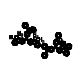 CC1(C)c2ccccc2-c2ccc(N(c3ccc4c(c3)C(C)(C)c3cc(-c5ccc6c7cc(N(c8ccc9c(c8)C(c8ccccc8)(c8ccccc8)c8ccccc8-9)c8ccc9c(c8)oc8ccccc89)ccc7n(-c7ccccc7)c6c5)ccc3-4)c3ccc4c(c3)c3ccccc3n4-c3ccccc3)cc21